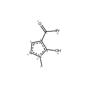 CC(C)C(=O)c1cnn(C)c1O